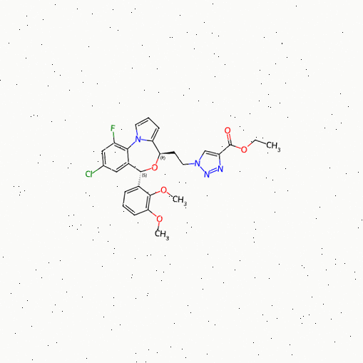 CCOC(=O)c1cn(CC[C@H]2O[C@H](c3cccc(OC)c3OC)c3cc(Cl)cc(F)c3-n3cccc32)nn1